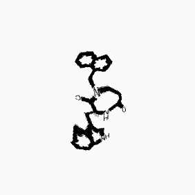 O=C1CCN(Cc2cccc3ccccc23)C(=O)[C@H](Cc2c[nH]c3ccccc23)N1